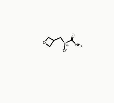 NC(=O)[S@@+]([O-])CC1COC1